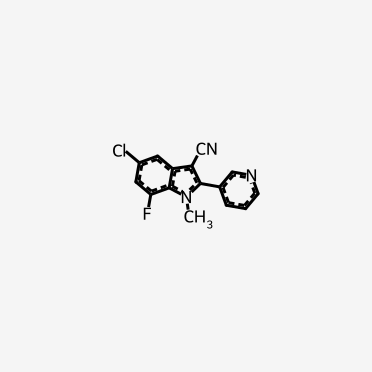 Cn1c(-c2cccnc2)c(C#N)c2cc(Cl)cc(F)c21